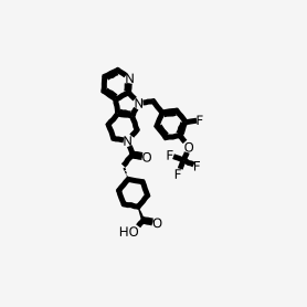 O=C(C[C@H]1CC[C@H](C(=O)O)CC1)N1CCc2c(n(Cc3ccc(OC(F)(F)F)c(F)c3)c3ncccc23)C1